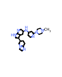 CN1CCN(c2cc(Nc3cnc4[nH]cc(-c5ccc6nccn6c5)c4c3)ccn2)CC1